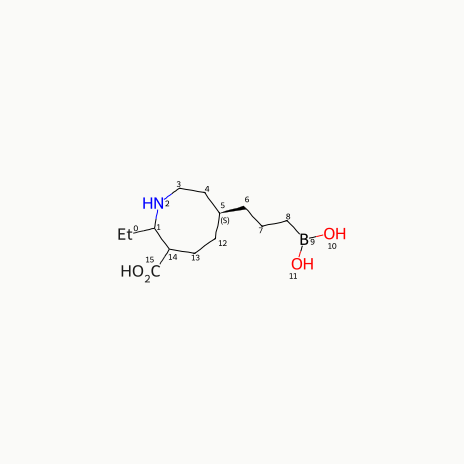 CCC1NCC[C@@H](CCCB(O)O)CCC1C(=O)O